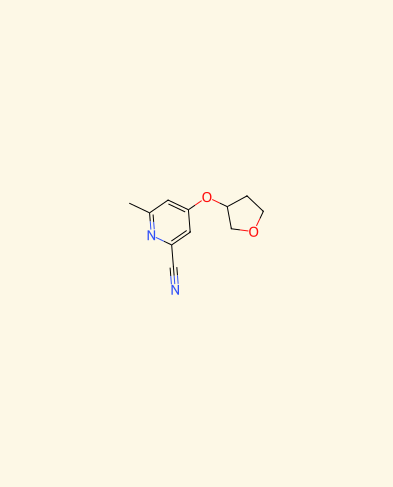 Cc1cc(OC2CCOC2)cc(C#N)n1